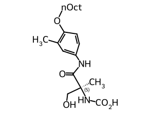 CCCCCCCCOc1ccc(NC(=O)[C@](C)(CO)NC(=O)O)cc1C